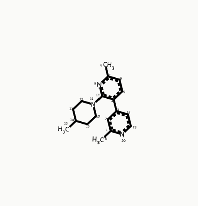 Cc1cc(-c2ccc(C)nc2N2CCC(C)CC2)ccn1